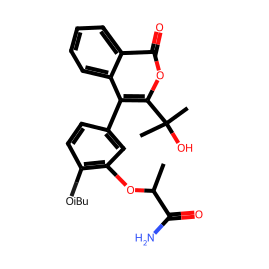 CC(C)COc1ccc(-c2c(C(C)(C)O)oc(=O)c3ccccc23)cc1OC(C)C(N)=O